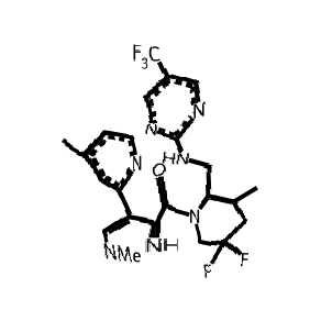 CN/C=C(\C(=N)C(=O)N1CC(F)(F)CC(C)C1CNc1ncc(C(F)(F)F)cn1)c1cc(C)ccn1